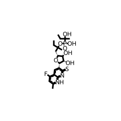 CCC(C)(C[C@H]1O[C@@H](c2cc3c(F)cc(C)[nH]c-3nc2=S)[C@@H](O)C1O)OP(=O)(O)C(C)(O)CC